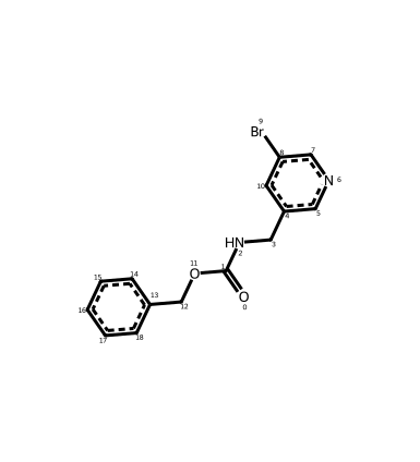 O=C(NCc1cncc(Br)c1)OCc1ccccc1